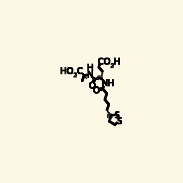 C[C@H](NC(=O)[C@H](CCC(=O)O)NC(=O)CCCC[C@H]1CCSS1)C(=O)O